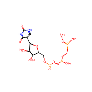 O=c1[nH]cc(C2OC(CO[PH](=O)OOP(O)OOP(O)OO)C(O)C2O)c(=O)[nH]1